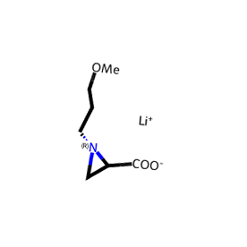 COCCC[N@@]1CC1C(=O)[O-].[Li+]